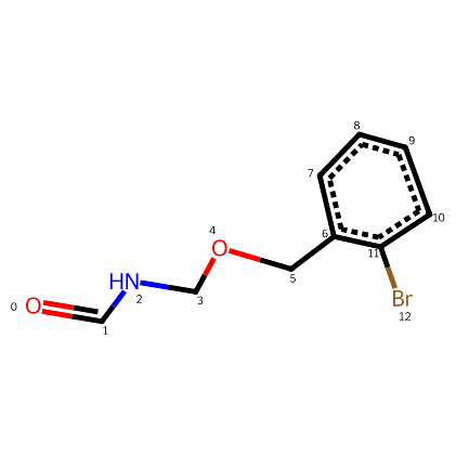 O=CNCOCc1ccccc1Br